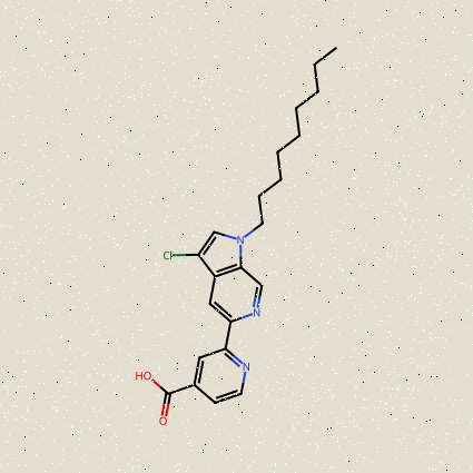 CCCCCCCCCn1cc(Cl)c2cc(-c3cc(C(=O)O)ccn3)ncc21